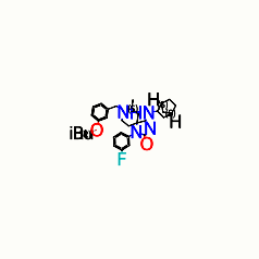 CC[C@@H](C)Oc1cccc(CN2CCC3(C[C@@H]2C)C(NC2C[C@H]4CC[C@H]2C4)=NC(=O)N3c2cccc(F)c2)c1